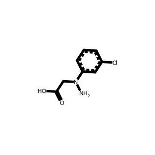 NN(CC(=O)O)c1cccc(Cl)c1